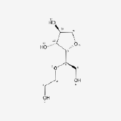 OCCO[C@H](CO)[C@H]1OC[C@H](O)[C@H]1O